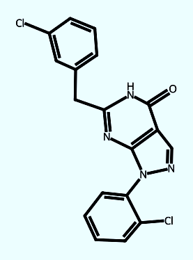 O=c1[nH]c(Cc2cccc(Cl)c2)nc2c1cnn2-c1ccccc1Cl